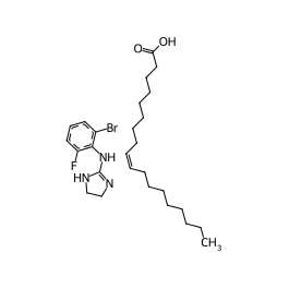 CCCCCCCC/C=C\CCCCCCCC(=O)O.Fc1cccc(Br)c1NC1=NCCN1